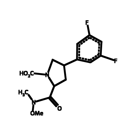 CON(C)C(=O)C1CC(c2cc(F)cc(F)c2)CN1C(=O)O